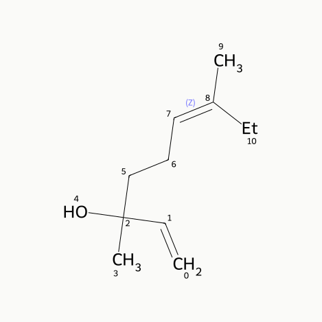 C=CC(C)(O)CC/C=C(/C)CC